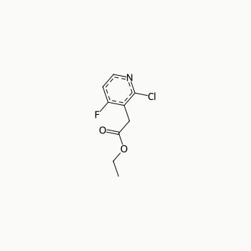 CCOC(=O)Cc1c(F)ccnc1Cl